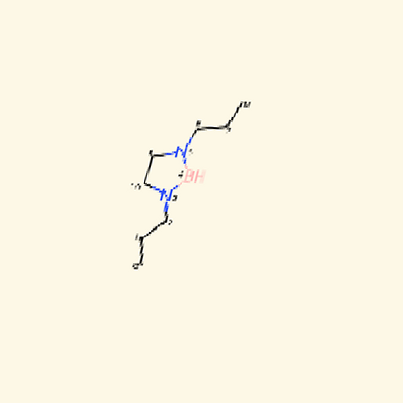 CCCN1BN(CCC)CC1